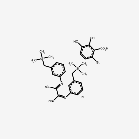 CCCCC(=Nc1cccc(C[Si](C)(C)C)c1)C(CCCC)=Nc1cccc(C[Si](C)(C)C)c1.CCc1ccc(O)c(O)c1C(=O)O.[Ni]